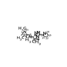 CCN1C=CC(C)(C)C1=CN=C1C(C)=Nn2c1nnc2-c1ccccn1